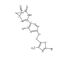 Cc1nc(Br)sc1COc1ccc(C2=NC3C[C@@H]3C(=O)N2)c(Cl)c1